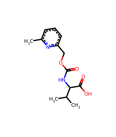 Cc1cccc(COC(=O)NC(C(=O)O)C(C)C)n1